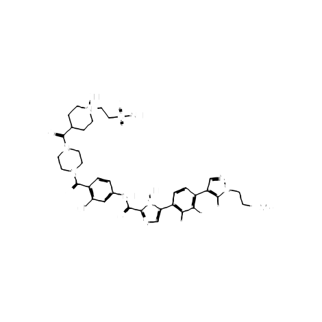 COCCn1ncc(-c2ccc(-c3cnc(C(=O)Nc4ccc(C(=O)N5CCN(C(=O)C6CC[N+](C)(CCS(N)(=O)=O)CC6)CC5)c(Cl)c4)n3C)c(F)c2F)c1C